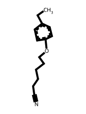 CCc1ccc(OCCCCCC#N)cc1